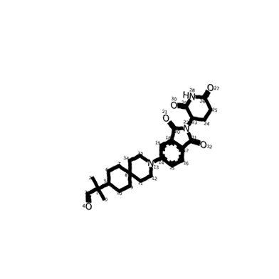 CC(C)(C=O)C1CCC2(CC1)CCN(c1ccc3c(c1)C(=O)N(C1CCC(=O)NC1=O)C3=O)CC2